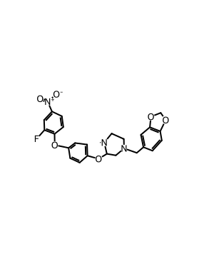 O=[N+]([O-])c1ccc(Oc2ccc(OC3CN(Cc4ccc5c(c4)OCO5)CC[N]3)cc2)c(F)c1